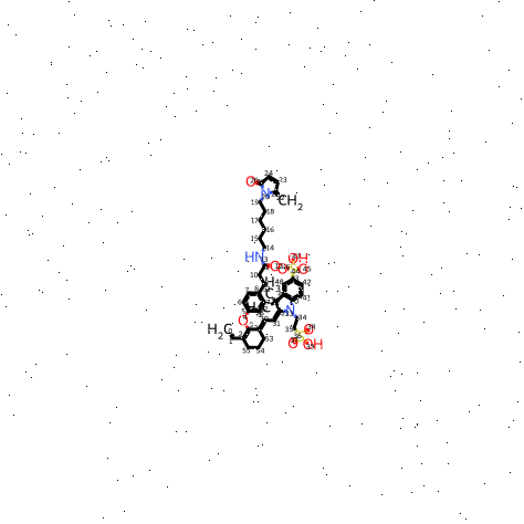 C=CC1=C(Oc2ccc(CCC(=O)NCCCCCCN3C(=C)C=CC3=O)cc2)/C(=C/C=C2/N(CCS(=O)(=O)O)c3ccc(S(=O)(=O)O)cc3C2(C)C)CCC1